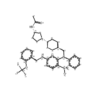 CC(=O)N[C@H]1CCN([C@H]2CC[C@H](CN(c3ccccc3)c3nc(NCc4ccccc4OC(F)(F)F)ncc3[N+](=O)[O-])CC2)C1